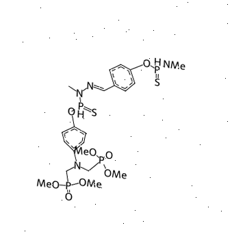 CN[PH](=S)Oc1ccc(/C=N/N(C)[PH](=S)Oc2ccc(N(CP(=O)(OC)OC)CP(=O)(OC)OC)cc2)cc1